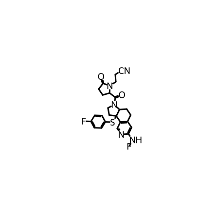 N#CCCN1C(=O)CCC1C(=O)N1CCC2(Sc3ccc(F)cc3)c3cnc(NF)cc3CCC12